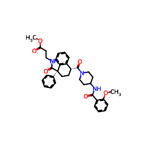 COC(=O)CCNC(=O)[C@]1(c2ccccc2)CC[C@@H](C(=O)N2CCC(NC(=O)c3ccccc3OC)CC2)c2ccccc21